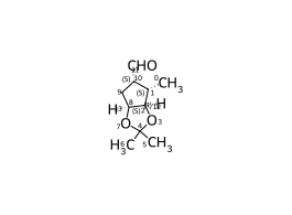 C[C@@H]1[C@H]2OC(C)(C)O[C@H]2C[C@@H]1C=O